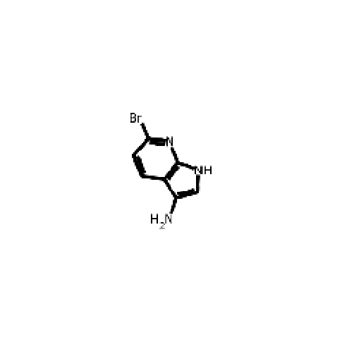 Nc1c[nH]c2nc(Br)ccc12